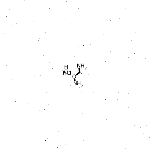 Cl.Cl.NCON